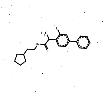 CC(C(=O)NCCC1CCCC1)c1ccc(-c2ccccc2)cc1F